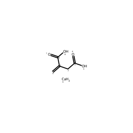 C=C(CC(=O)O)C(=O)O.[CaH2]